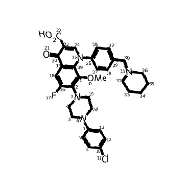 COc1c(N2CCN(c3ccc(Cl)cc3)CC2)c(F)cc2c(=O)c(C(=O)O)cn(-c3ccc(CN4CCCCC4)cc3)c12